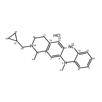 CC1c2cc(N(C)c3ccccc3C#N)ccc2CCN1CC1CC1.Cl